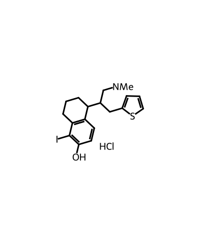 CNCC(Cc1cccs1)C1CCCc2c1ccc(O)c2I.Cl